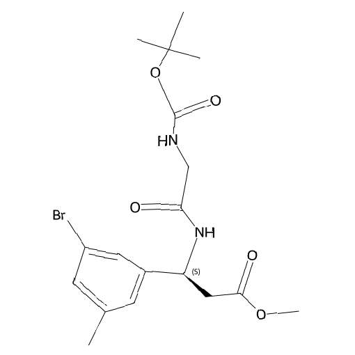 COC(=O)C[C@H](NC(=O)CNC(=O)OC(C)(C)C)c1cc(C)cc(Br)c1